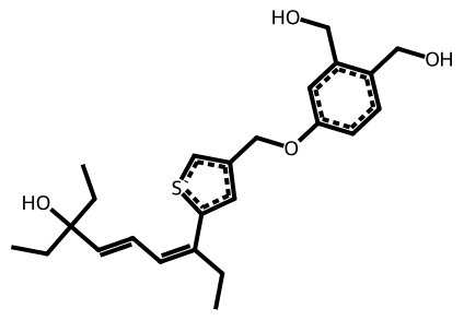 CC/C(=C/C=C/C(O)(CC)CC)c1cc(COc2ccc(CO)c(CO)c2)cs1